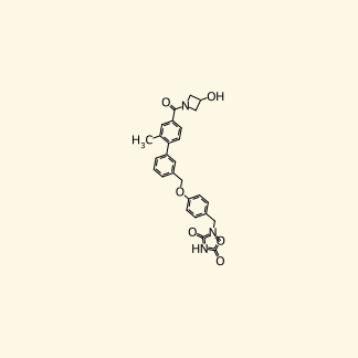 Cc1cc(C(=O)N2CC(O)C2)ccc1-c1cccc(COc2ccc(Cn3oc(=O)[nH]c3=O)cc2)c1